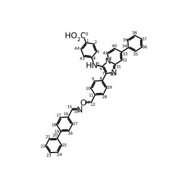 O=C(O)c1ccc(Nc2c(-c3ccc(CO/N=C/c4ccc(-c5ccccc5)cc4)cc3)nc3cc(-c4ccccc4)ccn23)cc1